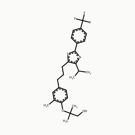 Cc1cc(CCCc2sc(-c3ccc(C(F)(F)F)cc3)nc2C(C)C)ccc1OC(C)(C)CO